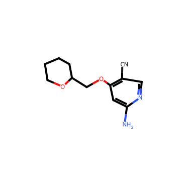 N#Cc1cnc(N)cc1OCC1CCCCO1